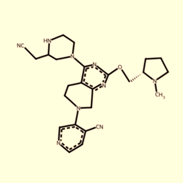 CN1CCC[C@H]1COc1nc2c(c(N3CCNC(CC#N)C3)n1)CCN(c1cnccc1C#N)C2